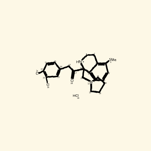 CSc1cccc2c1CCNC2(CN1CCCC1)C(=O)Cc1ccc(Cl)c(Cl)c1.Cl